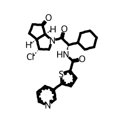 O=C(N[C@H](C(=O)N1C[C@H](Cl)[C@H]2CCC(=O)[C@H]21)C1CCCCC1)c1ccc(-c2cccnc2)s1